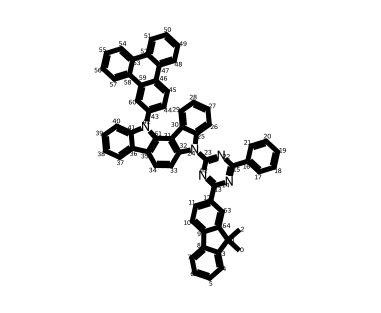 CC1(C)c2ccccc2-c2ccc(-c3nc(-c4ccccc4)nc(-n4c5ccccc5c5c4ccc4c6ccccc6n(-c6ccc7c8ccccc8c8ccccc8c7c6)c45)n3)cc21